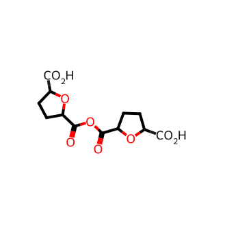 O=C(O)C1CCC(C(=O)OC(=O)C2CCC(C(=O)O)O2)O1